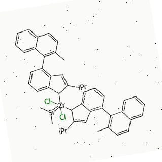 Cc1ccc2ccccc2c1-c1cccc2c1C=C(C(C)C)[CH]2[Zr]([Cl])([Cl])([CH]1C(C(C)C)=Cc2c(-c3c(C)ccc4ccccc34)cccc21)=[Si](C)C